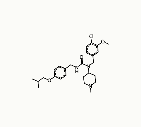 COc1cc(CN(C(=O)NCc2ccc(OCC(C)C)cc2)C2CCN(C)CC2)ccc1Cl